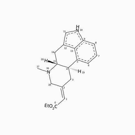 CCOC(=O)C=C1C[C@@H]2c3cccc4[nH]cc(c34)C[C@H]2N(C)C1